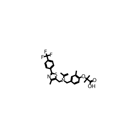 C=C(C)N(Cc1ccc(OC(C)(C)C(=O)O)c(C)c1)Cc1sc(-c2ccc(C(F)(F)F)cc2)nc1C